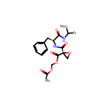 CCC(NC(=O)[C@H](Cc1ccccc1)NC(=O)[C@]1(C(=O)OCOC(=O)C(C)(C)C)CO1)OC